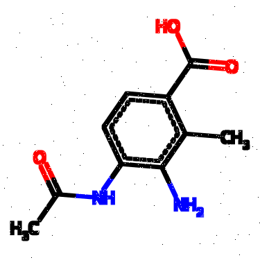 CC(=O)Nc1ccc(C(=O)O)c(C)c1N